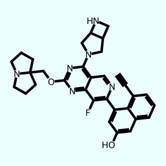 C#Cc1cccc2cc(O)cc(-c3ncc4c(N5CC6CNC6C5)nc(OCC56CCCN5CCC6)nc4c3F)c12